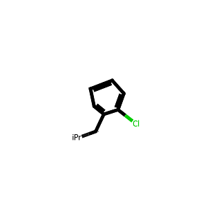 CC(C)[CH]c1ccccc1Cl